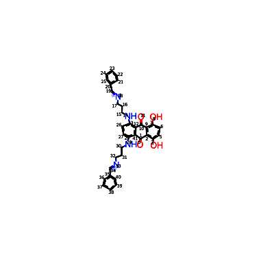 O=C1c2c(O)ccc(O)c2C(=O)c2c(NCCC/N=C/c3ccccc3)ccc(NCCC/N=C/c3ccccc3)c21